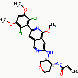 C=CC(=O)N[C@H]1CCOC[C@H]1Nc1cc2c(OC)nc(-c3c(Cl)c(OC)cc(OC)c3Cl)cc2cn1